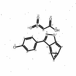 Clc1ccc(-c2noc3cc4cc-4c23)cc1.O=C(O)C=S(=O)=O